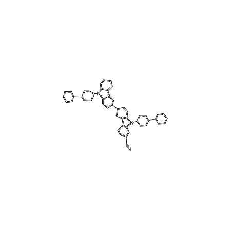 N#Cc1ccc2c3cc(-c4ccc5c(c4)c4ccccc4n5-c4ccc(-c5ccccc5)cc4)ccc3n(-c3ccc(-c4ccccc4)cc3)c2c1